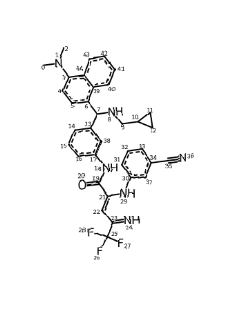 CN(C)c1ccc(C(NCC2CC2)c2cccc(NC(=O)/C(=C/C(=N)C(F)(F)F)Nc3cccc(C#N)c3)c2)c2ccccc12